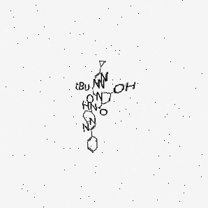 CC(C)(C)[C@@H](C(=O)N1CC(O)CC1C(=O)NC1CCc2nc(-c3ccccc3)cn2C1)n1cc(C2CC2)nn1